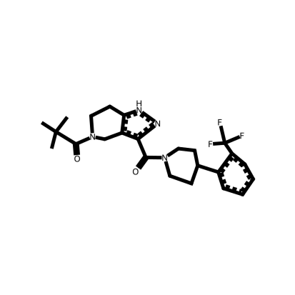 CC(C)(C)C(=O)N1CCc2[nH]nc(C(=O)N3CCC(c4ccccc4C(F)(F)F)CC3)c2C1